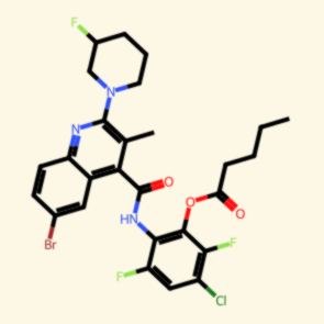 CCCCC(=O)Oc1c(F)c(Cl)cc(F)c1NC(=O)c1c(C)c(N2CCCC(F)C2)nc2ccc(Br)cc12